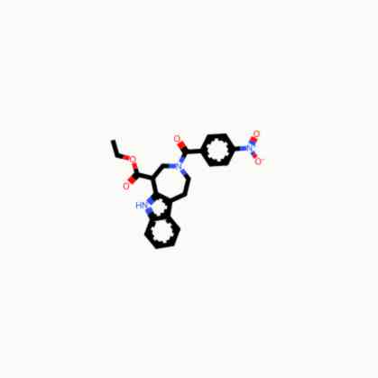 CCOC(=O)C1CN(C(=O)c2ccc([N+](=O)[O-])cc2)CCc2c1[nH]c1ccccc21